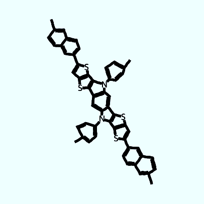 Cc1ccc(-n2c3cc4c5sc6cc(-c7ccc8cc(C)ccc8c7)sc6c5n(-c5ccc(C)cc5)c4cc3c3sc4cc(-c5ccc6cc(C)ccc6c5)sc4c32)cc1